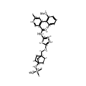 COc1cccc(F)c1-c1cc(C)ncc1C(=O)Nc1nnc(OCC23CCC(O[Si](C)(C)C(C)(C)C)(CC2)C3)s1